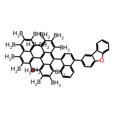 Bc1c(B)c(B)c2c(-c3c4c(B)c(B)c(B)c(B)c4c(-c4ccc(-c5ccc6oc7ccccc7c6c5)c5ccccc45)c4c(B)c(B)c(B)c(B)c34)c(B)c(B)c(B)c2c1B